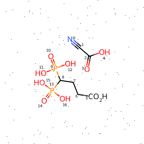 N#CC(=O)O.O=C(O)CCC(P(=O)(O)O)P(=O)(O)O